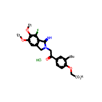 CCOc1cc2c(c(F)c1OCC)C(=N)N(CC(=O)c1ccc(OCC(=O)O)c(C(C)(C)C)c1)C2.Cl